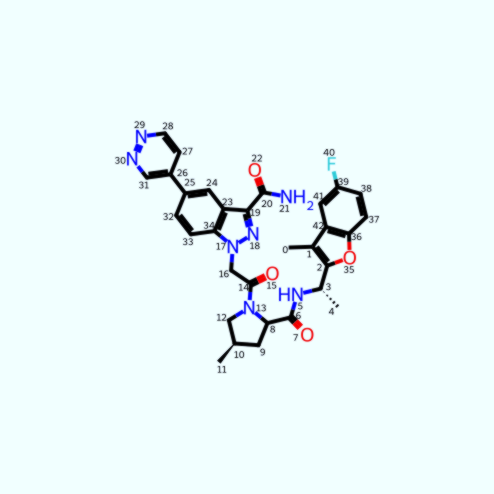 Cc1c([C@H](C)NC(=O)C2C[C@@H](C)CN2C(=O)Cn2nc(C(N)=O)c3cc(-c4ccnnc4)ccc32)oc2ccc(F)cc12